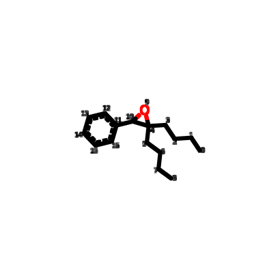 CCCCC1(CCCC)OC1c1ccccc1